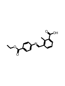 CCOC(=O)c1ccc(N=Cc2cccc(C(=O)O)c2C)cc1